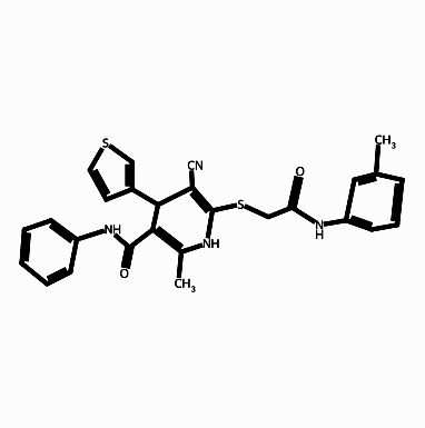 CC1=C(C(=O)Nc2ccccc2)C(c2ccsc2)C(C#N)=C(SCC(=O)Nc2cccc(C)c2)N1